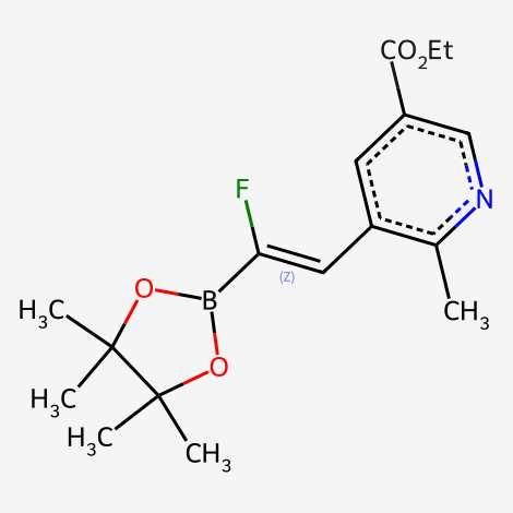 CCOC(=O)c1cnc(C)c(/C=C(\F)B2OC(C)(C)C(C)(C)O2)c1